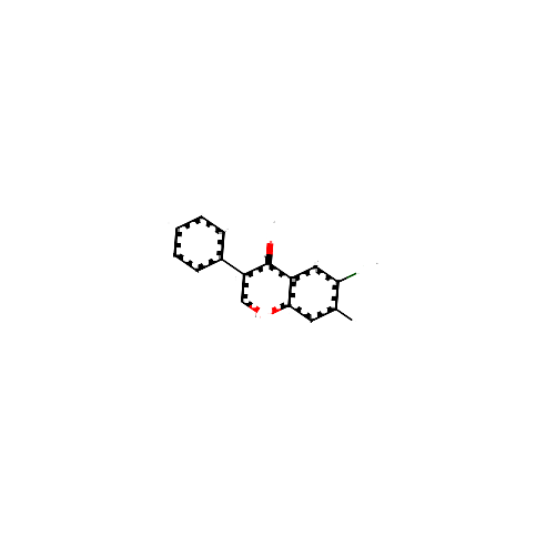 Cc1cc2occ(-c3ccccc3)c(=O)c2cc1Cl